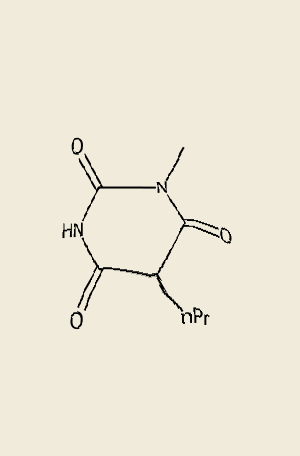 CCCC1C(=O)NC(=O)N(C)C1=O